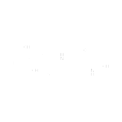 CNC(=O)CNC(=O)OC(C)(C)C